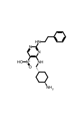 N[C@H]1CC[C@H](CNc2nc(NCCc3ccccc3)ncc2[N+](=O)O)CC1